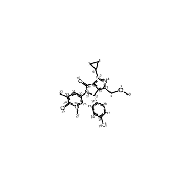 COCc1nn(C2CC2)c2c1[C@H](c1ccc(Cl)cc1)N(c1cc(C)c(=O)n(C)c1)C2=O